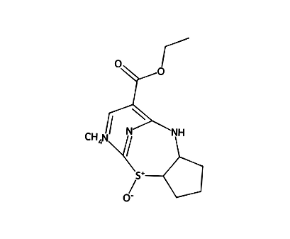 C.CCOC(=O)c1cnc2nc1NC1CCCC1[S+]2[O-]